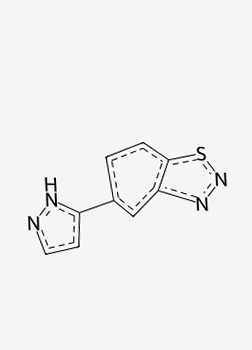 c1cc(-c2ccc3snnc3c2)[nH]n1